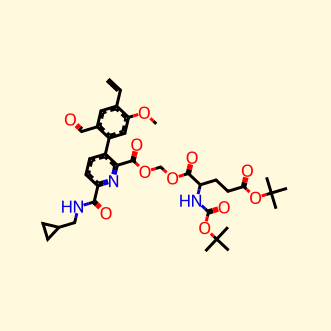 C=Cc1cc(C=O)c(-c2ccc(C(=O)NCC3CC3)nc2C(=O)OCOC(=O)C(CCC(=O)OC(C)(C)C)NC(=O)OC(C)(C)C)cc1OC